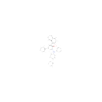 c1ccc(-c2ccc(N(c3ccccc3)c3cc(-c4ccccc4)cc4c3oc3ccc5ccccc5c34)cc2)cc1